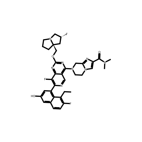 CCc1c(F)ccc2cc(O)cc(-c3ncc4c(N5CCn6cc(C(=O)N(C)C)nc6C5)nc(OC[C@@]56CCCN5C[C@H](F)C6)nc4c3F)c12